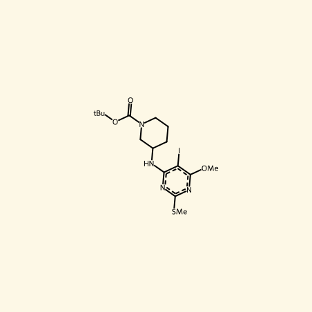 COc1nc(SC)nc(NC2CCCN(C(=O)OC(C)(C)C)C2)c1I